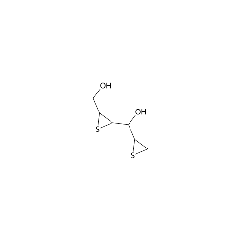 OCC1SC1C(O)C1CS1